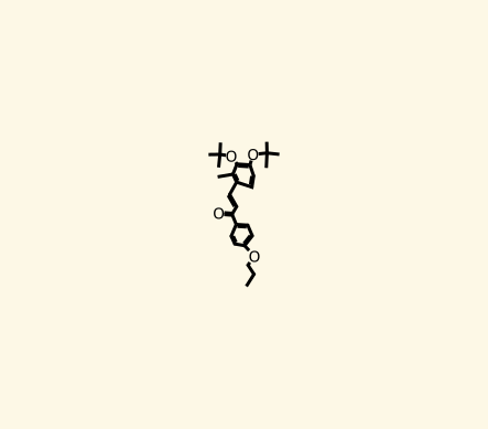 CCCOc1ccc(C(=O)C=Cc2ccc(OC(C)(C)C)c(OC(C)(C)C)c2C)cc1